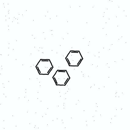 c1ccccc1.c1ccccc1.c1ccccc1